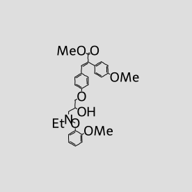 CCN(CC(O)COc1ccc(/C=C(/C(=O)OC)c2ccc(OC)cc2)cc1)Oc1ccccc1OC